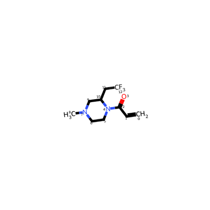 C=CC(=O)N1CCN(C)CC1CC(F)(F)F